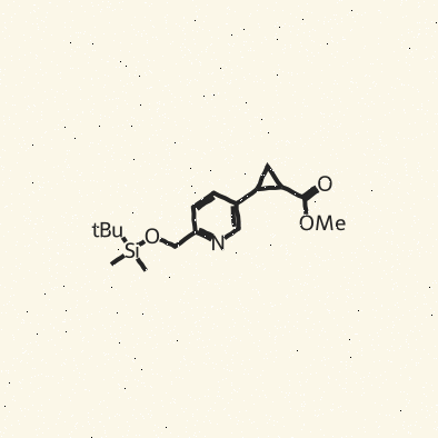 COC(=O)C1CC1c1ccc(CO[Si](C)(C)C(C)(C)C)nc1